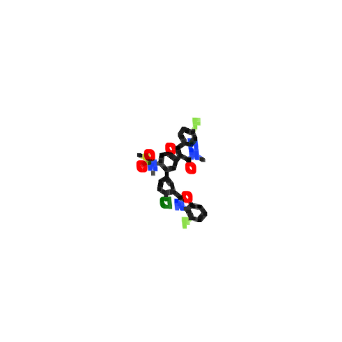 CNC(=O)c1c(-c2ccc(F)cc2)oc2cc(N(C)S(C)(=O)=O)c(-c3ccc(Cl)c(-c4nc5c(F)cccc5o4)c3)cc12